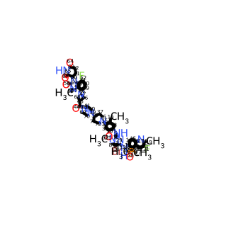 CCc1cc(Nc2ncc(Br)c(Nc3ccc4nc(C)c(F)cc4c3P(C)(C)=O)n2)c(OC)cc1N1CCC(N2CCN(C(=O)C3CN(c4ccc(F)c5c4n(C)c(=O)n5[C@H]4CCC(=O)NC4=O)C3)CC2)CC1